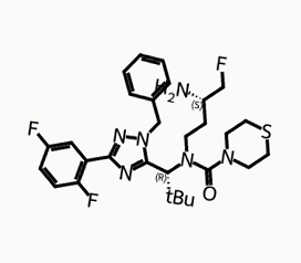 CC(C)(C)[C@H](c1nc(-c2cc(F)ccc2F)nn1Cc1ccccc1)N(CC[C@H](N)CF)C(=O)N1CCSCC1